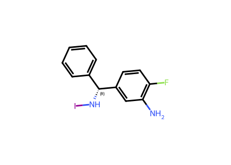 Nc1cc([C@H](NI)c2ccccc2)ccc1F